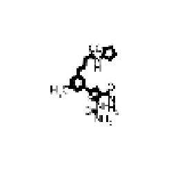 Cc1cc(C=CC[C@H](NC2CCCC2)C(=O)O)cc(-c2cc(C(N)=O)c(NC(N)=O)s2)c1